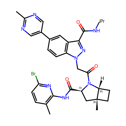 Cc1ncc(-c2ccc3c(c2)c(C(=O)NC(C)C)nn3CC(=O)N2[C@H](C(=O)Nc3nc(Br)ccc3C)C[C@@]3(C)CC[C@@H]23)cn1